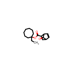 CCC1(OC(=O)C2CC3C=CC2C3=O)CCCCCCC1